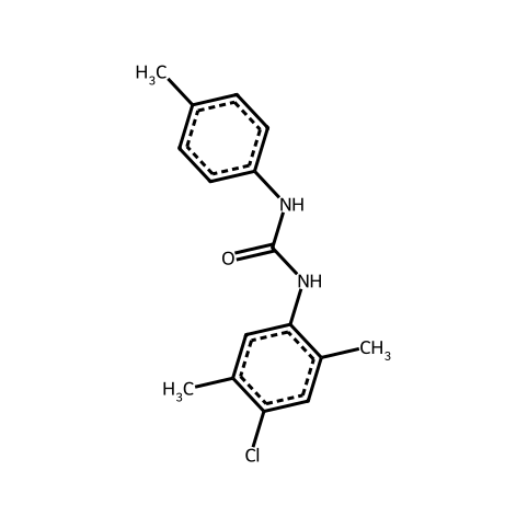 Cc1ccc(NC(=O)Nc2cc(C)c(Cl)cc2C)cc1